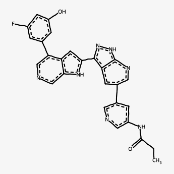 CCC(=O)Nc1cncc(-c2cnc3[nH]nc(-c4cc5c(-c6cc(O)cc(F)c6)cncc5[nH]4)c3c2)c1